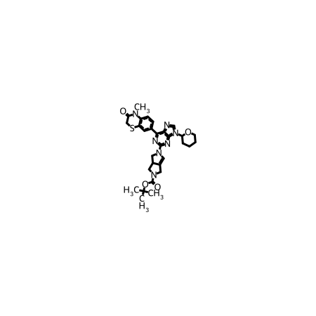 CN1C(=O)CSc2cc(-c3nc(N4C=C5CN(C(=O)OC(C)(C)C)CC5C4)nc4c3ncn4C3CCCCO3)ccc21